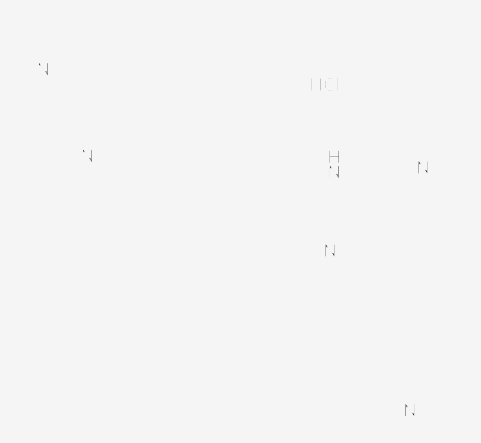 CN1CCN(Cc2ccc(-c3nc4c(-c5ccncc5)ccnc4[nH]3)cc2)CC1.Cl